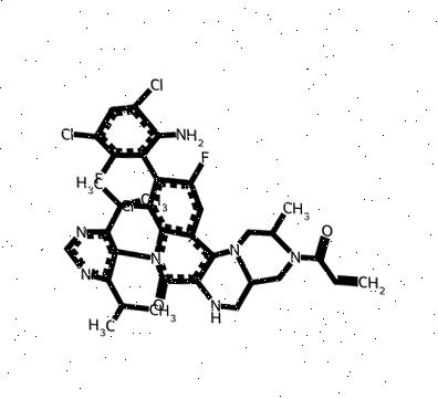 C=CC(=O)N1CC2CNc3c(c4cc(F)c(-c5c(N)c(Cl)cc(Cl)c5F)c(Cl)c4n(-c4c(C(C)C)ncnc4C(C)C)c3=O)N2CC1C